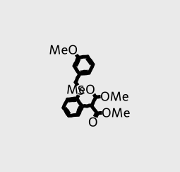 COC(=O)C(c1ccccc1SCc1cccc(OC)c1)C(OC)OC